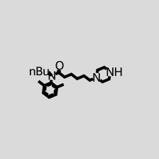 CCCCN(C(=O)CCCCCN1CCNCC1)c1c(C)cccc1C